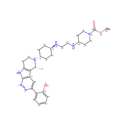 C[C@@H]1c2c([nH]c3nnc(-c4ccccc4O)cc23)CCN1[C@H]1CC[C@H](NCCNC2CCN(C(=O)OC(C)(C)C)CC2)CC1